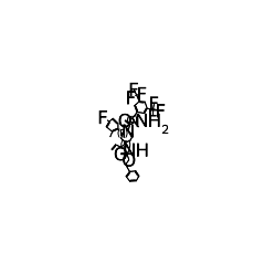 C=CC[C@]1(NC(=O)OCc2ccccc2)CCN(C(=O)C(C)(N)[C@@H](C)c2cc(C(F)(F)F)cc(C(F)(F)F)c2)[C@@H](c2ccc(F)cc2C)C1